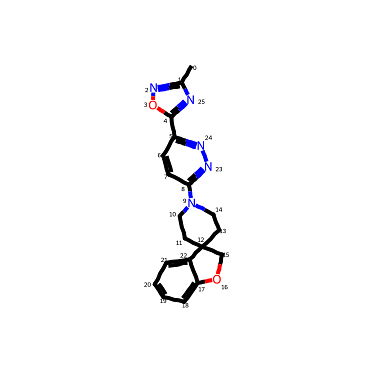 Cc1noc(-c2ccc(N3CCC4(CC3)COc3ccccc34)nn2)n1